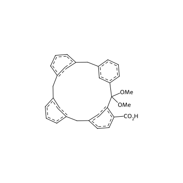 COC1(OC)c2cccc(c2)Cc2cccc(c2)Cc2cccc(c2)Cc2ccc(C(=O)O)c1c2